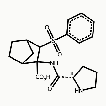 O=C(NC1(C(=O)O)C2CCC(C2)C1S(=O)(=O)c1ccccc1)[C@@H]1CCCN1